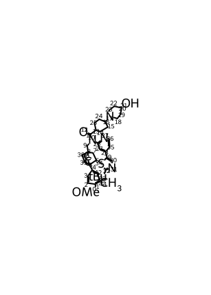 COc1ccc(C23CCC(CN(C(=O)C4CCC(N5CCC(O)CC5)CC4)c4cc(-c5cnc(C(C)(C)C)s5)ccn4)(CC2)CC3)cc1C